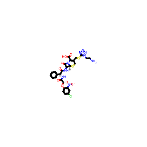 NCCn1nnnc1SCC1=C(C(=O)O)N2C(=O)C(NC(=O)[C@H](NC(=O)COc3ccc(Cl)cc3[N+](=O)[O-])c3ccccc3)[C@@H]2SC1